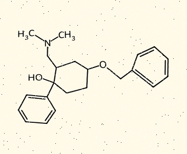 CN(C)CC1CC(OCc2ccccc2)CCC1(O)c1ccccc1